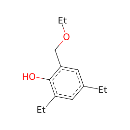 CCOCc1cc(CC)cc(CC)c1O